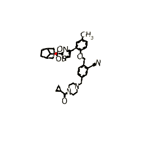 Cc1ccc(OCc2ccc(CN3CCN(C(=O)C4CC4)CC3)cc2C#N)c(-c2csc(N3CC4CCC(C3)C4C(=O)O)n2)c1